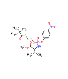 COC(=O)[C@@H](NP(=O)(OCCSC(=O)C(C)(C)C)Oc1ccc([N+](=O)[O-])cc1)C(C)C